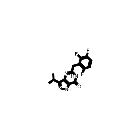 CC(C)c1n[nH]c2c(=O)[nH]c(Cc3c(F)ccc(F)c3F)nc12